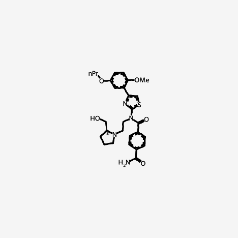 CCCOc1ccc(OC)c(-c2csc(N(CCN3CCC[C@H]3CO)C(=O)c3ccc(C(N)=O)cc3)n2)c1